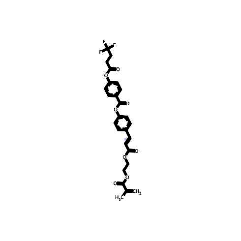 C=C(C)C(=O)OCCOC(=O)/C=C/c1ccc(OC(=O)c2ccc(OC(=O)CCC(F)(F)F)cc2)cc1